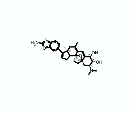 CC1=C2C=C3[C@@H](O)[C@H](O)[C@@H](N(C)C)C[C@]34CC[C@]2(O4)C2CC=C(c3ccc4nc(N)oc4c3)[C@@]2(C)C1